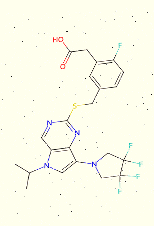 CC(C)n1cc(N2CC(F)(F)C(F)(F)C2)c2nc(SCc3ccc(F)c(CC(=O)O)c3)ncc21